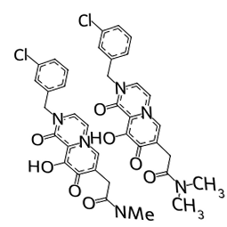 CN(C)C(=O)Cc1cn2ccn(Cc3cccc(Cl)c3)c(=O)c2c(O)c1=O.CNC(=O)Cc1cn2ccn(Cc3cccc(Cl)c3)c(=O)c2c(O)c1=O